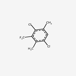 Cc1cc(Cl)c(C)c(C(F)(F)F)c1Cl